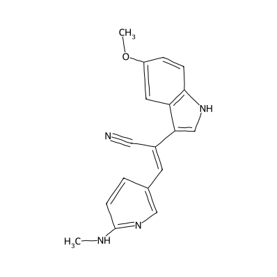 CNc1ccc(C=C(C#N)c2c[nH]c3ccc(OC)cc23)cn1